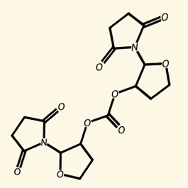 O=C(OC1CCOC1N1C(=O)CCC1=O)OC1CCOC1N1C(=O)CCC1=O